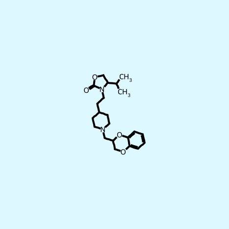 CC(C)C1COC(=O)N1CCC1CCN(CC2COc3ccccc3O2)CC1